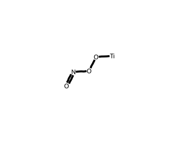 O=NO[O][Ti]